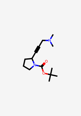 CN(C)CC#CC1CCCN1C(=O)OC(C)(C)C